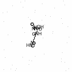 O=C(CCCCc1ccc2c(n1)NCCC2)NCC[C@@H](C(=O)O)n1cnc(-c2ccccc2)n1